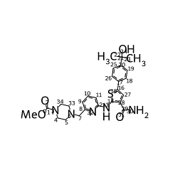 COC(=O)N1CCN(Cc2cccc(Nc3sc(-c4ccc(C(C)(C)O)cc4)cc3C(N)=O)n2)CC1